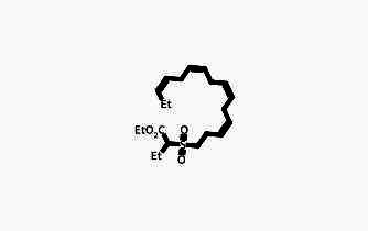 CC/C=C\C/C=C\C/C=C\C/C=C\CCS(=O)(=O)C(CC)C(=O)OCC